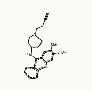 C#CCCN1CCC(Nc2c3ccccc3nc3cc(OC)c(OC)cc23)CC1